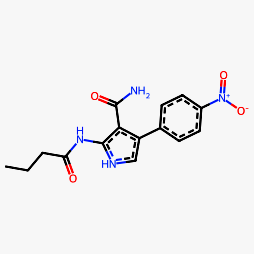 CCCC(=O)Nc1[nH]cc(-c2ccc([N+](=O)[O-])cc2)c1C(N)=O